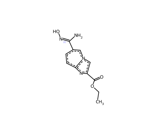 CCOC(=O)c1cn2cc(/C(N)=N/O)ccc2n1